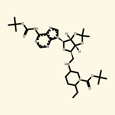 CCC1CCC(NC[C@H]2O[C@@H](n3cnc4c(NC(=O)OC(C)(C)C)ncnc43)[C@@H]3OC(C)(C)O[C@@H]32)CN1C(=O)OC(C)(C)C